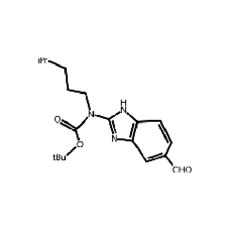 CC(C)CCCN(C(=O)OC(C)(C)C)c1nc2cc(C=O)ccc2[nH]1